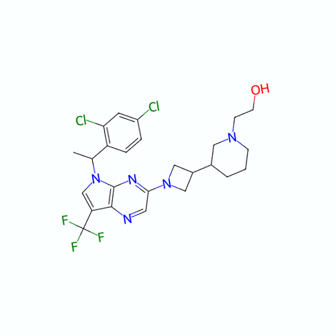 CC(c1ccc(Cl)cc1Cl)n1cc(C(F)(F)F)c2ncc(N3CC(C4CCCN(CCO)C4)C3)nc21